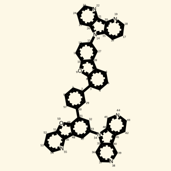 c1cc(-c2cccc3c2oc2ccc(-n4c5cccnc5c5ncccc54)cc23)cc(-c2cc(-n3c4ccncc4c4ccncc43)cc3c2oc2cccnc23)c1